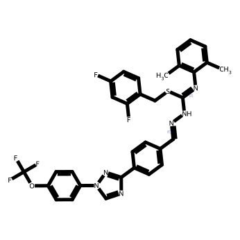 Cc1cccc(C)c1/N=C(/N/N=C/c1ccc(-c2ncn(-c3ccc(OC(F)(F)F)cc3)n2)cc1)SCc1ccc(F)cc1F